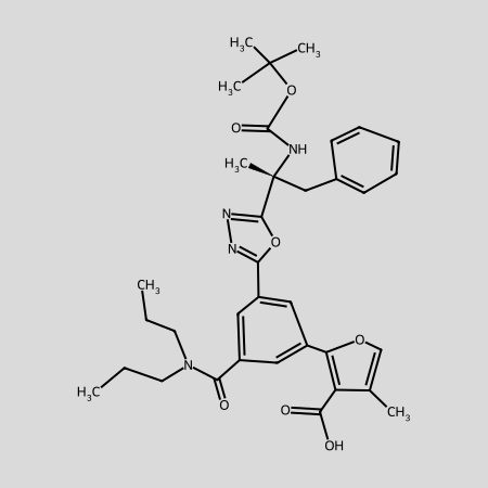 CCCN(CCC)C(=O)c1cc(-c2nnc([C@@](C)(Cc3ccccc3)NC(=O)OC(C)(C)C)o2)cc(-c2occ(C)c2C(=O)O)c1